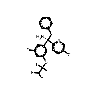 N[C@@](Cc1ccccc1)(c1cc(F)cc(OC(F)(F)C(F)F)c1)c1ccc(Cl)cn1